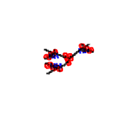 C=CC(=O)OCNC(=O)OC(C/C=C/CCCCCCCC(=O)OC(COC(=O)CCCCCCCC(OCC)C(C/C=C/CCCCC)OC(=O)NCOC(=O)C=C)COC(=O)CCCCCCCC(OCC)C(CCCCCCCC)OC(=O)NCOC(=O)C=C)C(CCCCC)OCC